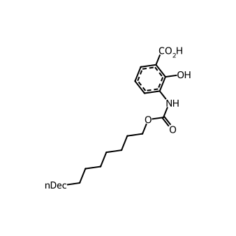 CCCCCCCCCCCCCCCCCOC(=O)Nc1cccc(C(=O)O)c1O